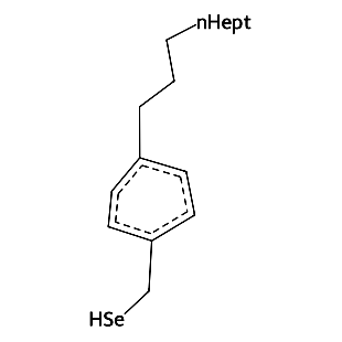 CCCCCCCCCCc1ccc(C[SeH])cc1